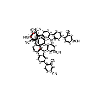 N#Cc1ccc(-c2ccc3c4ccc(-c5ccc(C#N)cc5C#N)cc4n(-c4cc(C#N)cc(-n5c6cc(-c7ccc(C#N)cc7C#N)ccc6c6ccc(-c7ccc(C#N)cc7C#N)cc65)c4-c4ccc(C(F)(F)F)cc4C(F)(F)F)c3c2)c(C#N)c1